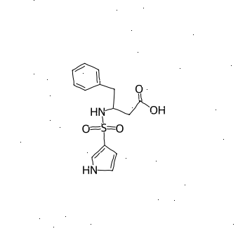 O=C(O)CC(Cc1ccccc1)NS(=O)(=O)c1cc[nH]c1